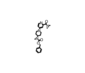 CN(C)C(=O)c1cc(N2CCC(N(C)C(=O)OCc3ccccc3)CC2)ccn1